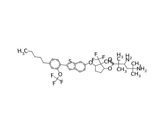 CCCCCc1ccc(-c2cc3ccc(OC4CCC(OC(=O)C(C)(C)C(N)CC(C)(C)N)C4(C)C(F)(F)F)cc3s2)c(OC(F)(F)F)c1